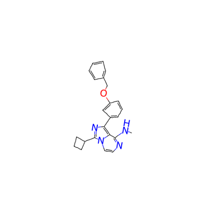 CNc1nccn2c(C3CCC3)nc(-c3cccc(OCc4ccccc4)c3)c12